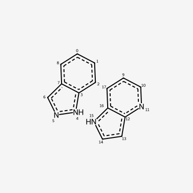 c1ccc2[nH]ncc2c1.c1cnc2cc[nH]c2c1